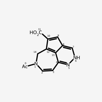 CC(=O)N1C=Cc2n[nH]cc3cc(C(=O)O)c(c2-3)C1